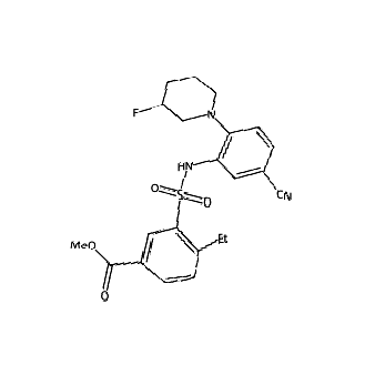 CCc1ccc(C(=O)OC)cc1S(=O)(=O)Nc1cc(C#N)ccc1N1CCCC(F)C1